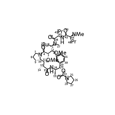 CC[C@H](C)[C@@H](C(CC(=O)N1CCC[C@H]1[C@H](OC)[C@@H](C)C(=O)N[C@H](C)[C@@H](OC(=O)N1CCCC1)c1ccccc1)OC)N(C)C(=O)[C@@H](NC(=O)[C@@H](NC)C(C)C)C(C)C